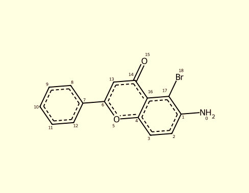 Nc1ccc2oc(-c3ccccc3)cc(=O)c2c1Br